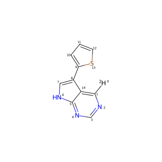 [2H]c1ncnc2[nH]cc(-c3cccs3)c12